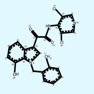 Cc1ccccc1Cn1cc(C(=O)C(=O)Nc2c(Cl)cncc2Cl)c2cccc(O)c21